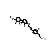 C/C=C/c1ccc(/C=C/COc2ccc3c(oc4c(F)c(OCC)ccc43)c2F)cc1F